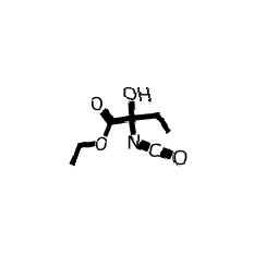 CCOC(=O)C(O)(CC)N=C=O